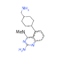 CNc1nc(N)nc2cccc(C3CCC(CN)CC3)c12